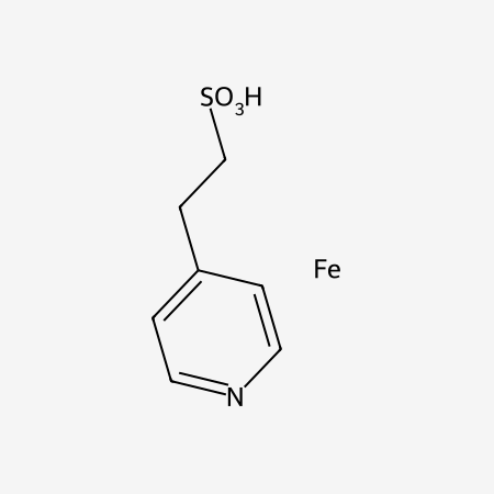 O=S(=O)(O)CCc1ccncc1.[Fe]